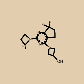 C[C@H]1CCN1c1nc(N2CC(O)C2)c2c(n1)C(F)(F)CC2